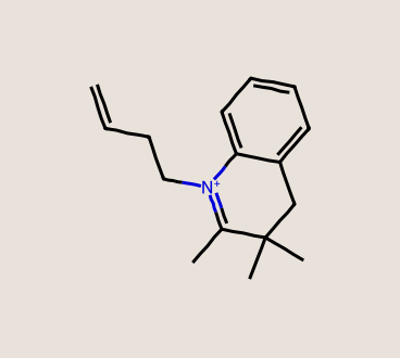 C=CCC[N+]1=C(C)C(C)(C)Cc2ccccc21